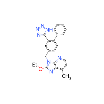 CCOc1nc2c(C)ccnc2n1Cc1ccc(-c2ccccc2)c(-c2nnn[nH]2)c1